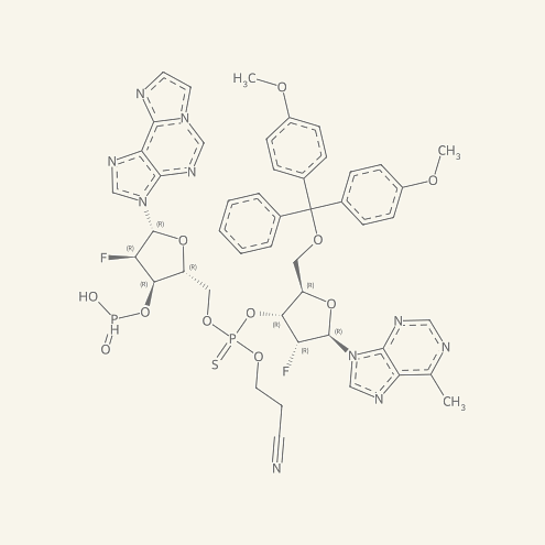 COc1ccc(C(OC[C@H]2O[C@@H](n3cnc4c(C)ncnc43)[C@H](F)[C@@H]2OP(=S)(OCCC#N)OC[C@H]2O[C@@H](n3cnc4c3ncn3ccnc43)[C@H](F)[C@@H]2O[PH](=O)O)(c2ccccc2)c2ccc(OC)cc2)cc1